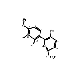 CCOc1ccc(-c2nc(C(=O)O)ccc2F)c(F)c1F